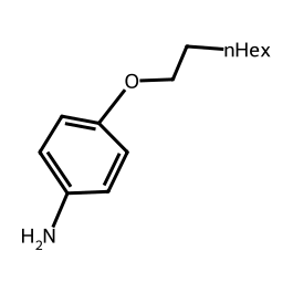 CCCCCCCCOc1ccc(N)cc1